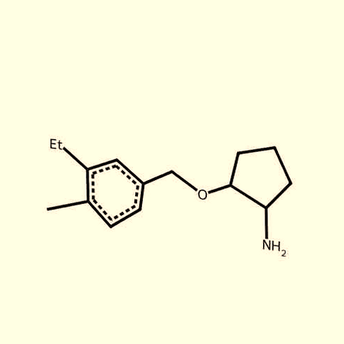 CCc1cc(COC2CCCC2N)ccc1C